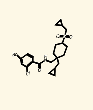 O=C(NCC1(CC2CC2)CCC(S(=O)(=O)CC2CC2)CC1)c1ccc(Br)cc1Cl